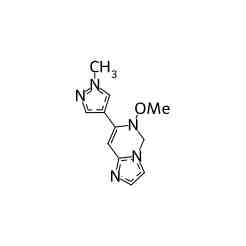 CON1Cn2ccnc2C=C1c1cnn(C)c1